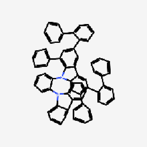 c1ccc(-c2ccccc2-c2cc(-c3ccccc3)c3c(c2)c2cc(-c4ccccc4-c4ccccc4)c(-c4ccccc4)cc2n3-c2ccccc2-n2c3ccccc3c3ccccc32)cc1